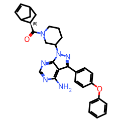 Nc1ncnc2c1c(-c1ccc(Oc3ccccc3)cc1)nn2C1CCCN(C(=O)[C@@H]2CC3C=CC2C3)C1